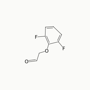 O=CCOc1c(F)cccc1F